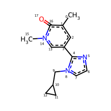 Cc1cc(-c2nccn2CC2CC2)cn(C)c1=O